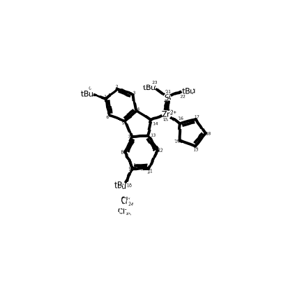 CC(C)(C)c1ccc2c(c1)-c1cc(C(C)(C)C)ccc1[CH]2[Zr+2]([C]1=CC=CC1)=[Si](C(C)(C)C)C(C)(C)C.[Cl-].[Cl-]